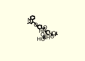 Cc1cc(COc2ccc(C(=O)N[C@@H]3CCN(C(=O)OC(C)(C)C)C[C@@H]3C(=O)NO)cc2)c2ccccc2n1